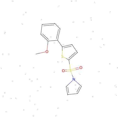 COc1ccccc1-c1ccc(S(=O)(=O)n2cccc2)s1